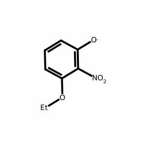 CCOc1cccc([O])c1[N+](=O)[O-]